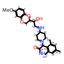 COc1ccc2c(c1)OCC(C(O)CNC1CCN(C(C(N)=O)c3c(C)cc(C)cc3C)CC1)O2